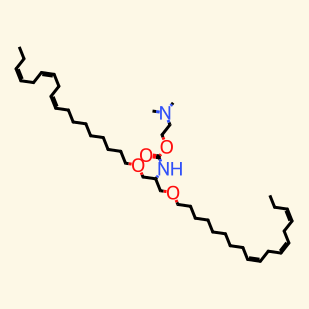 CC/C=C\C/C=C\C/C=C\CCCCCCCCOCC(COCCCCCCCC/C=C\C/C=C\C/C=C\CC)NC(=O)OCCN(C)C